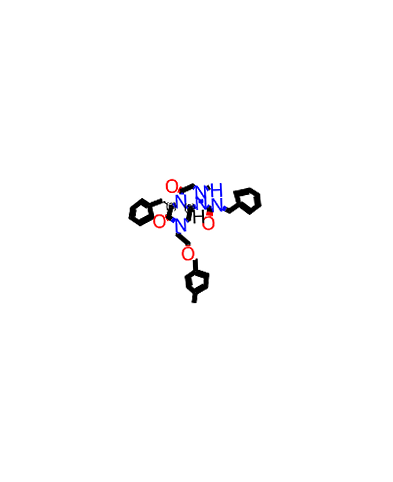 Cc1ccc(COCCN2C[C@H]3N(C(=O)CN(C)N3C(=O)NCc3ccccc3)[C@@H](Cc3ccccc3)C2=O)cc1